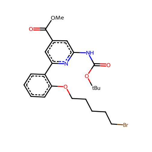 COC(=O)c1cc(NC(=O)OC(C)(C)C)nc(-c2ccccc2OCCCCCBr)c1